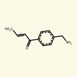 NCc1ccc(C(=O)/C=C/C(=O)O)cc1